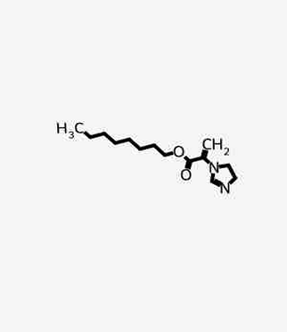 C=C(C(=O)OCCCCCCCC)N1C=NCC1